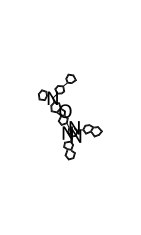 c1ccc(-c2ccc(N(c3ccccc3)c3ccc4c(c3)oc3cc(-c5nc(-c6ccc7ccccc7c6)nc(-c6ccc7ccccc7c6)n5)ccc34)cc2)cc1